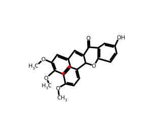 COc1ccc(C2Oc3ccc(O)cc3C(=O)/C2=C/c2ccc(OC)c(OC)c2)cc1